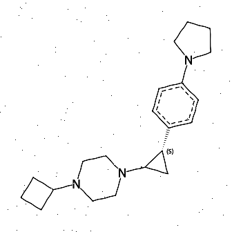 c1cc(N2CCCC2)ccc1[C@@H]1C[C]1N1CCN(C2CCC2)CC1